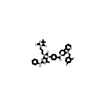 Cc1nc(Nc2ccccc2)nc2c1n(-c1ccc(C(=O)N3CCc4c(n(Cc5ccc(F)cc5F)c5ncccc45)C3)cc1)c(=O)n2CCCN1C(=O)OC(C)(C)C1=O